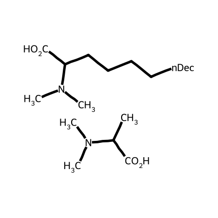 CC(C(=O)O)N(C)C.CCCCCCCCCCCCCCC(C(=O)O)N(C)C